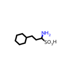 NC(CCC1CCCCC1)S(=O)(=O)O